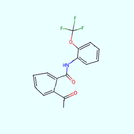 CC(=O)c1ccccc1C(=O)Nc1ccccc1OC(F)(F)F